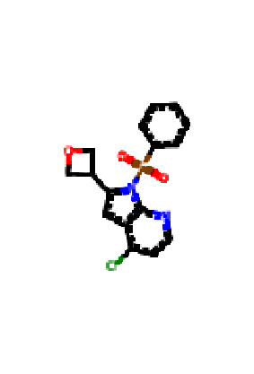 O=S(=O)(c1ccccc1)n1c(C2COC2)cc2c(Cl)ccnc21